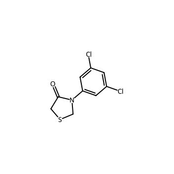 O=C1CSCN1c1cc(Cl)cc(Cl)c1